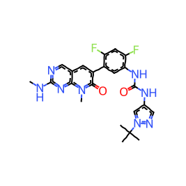 CNc1ncc2cc(-c3cc(NC(=O)Nc4cnn(C(C)(C)C)c4)c(F)cc3F)c(=O)n(C)c2n1